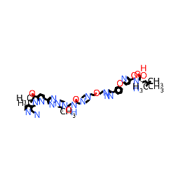 C[C@@H]1CN(c2ncc(-c3ccc4c(n3)N(Cc3cccnc3C#N)C(C)(C)C4=O)cn2)CCN1C(=O)CNC(=O)CN1CCN(CCOCCn2cc(-c3cccc(Oc4ccc(C(=O)N[C@@H](CCC(C)(C)C)C(=O)O)cn4)c3)nn2)CC1